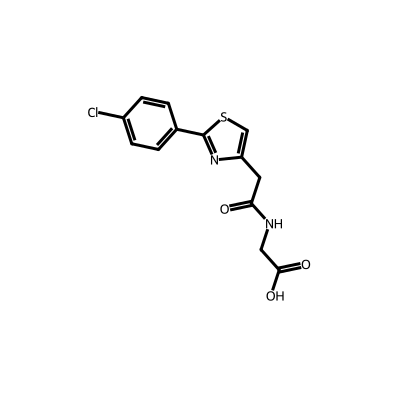 O=C(O)CNC(=O)Cc1csc(-c2ccc(Cl)cc2)n1